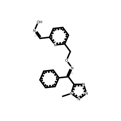 Cn1nnnc1/C(=N/OCc1cccc(/C=N\O)n1)c1ccccc1